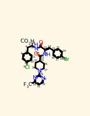 O=C(N[C@@H](Cc1ccc(Cl)cc1)C(=O)O)C(=Cc1ccc(Br)cc1)NC(=O)C1CCN(c2nccc(C(F)(F)F)n2)CC1